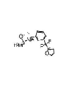 C[C@@H](N[S@+]([O-])C(C)(C)C)c1cccc(C(F)(F)[C@H]2CCCO2)c1